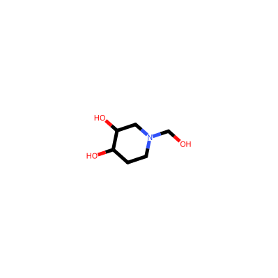 OCN1CCC(O)C(O)C1